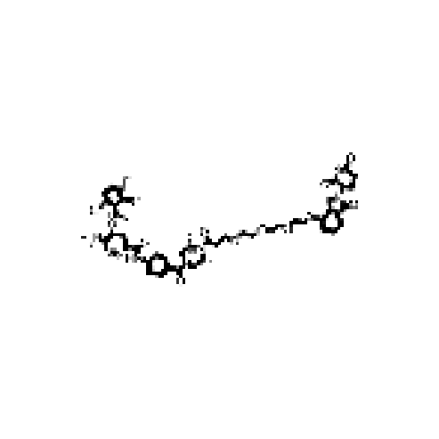 C[C@@H]1CN(C(=O)c2ccc(NC(=O)c3cc(O[C@H](C)c4c(Cl)ccc(F)c4Cl)c(N)nn3)cc2)C[C@H](C)N1C(=O)CCOCCOCCOCCSc1cccc2c1CN(C1CCC(=O)NC1=O)C2=O